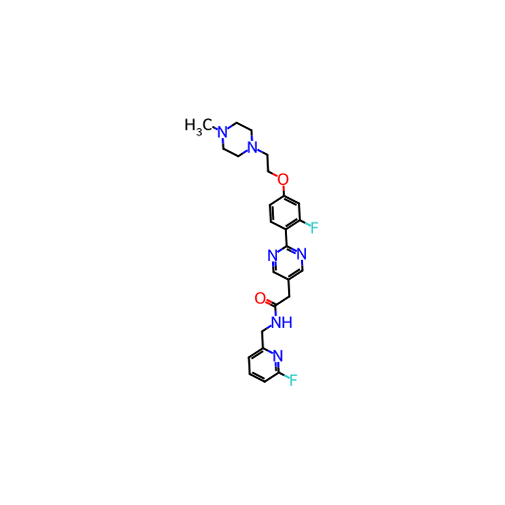 CN1CCN(CCOc2ccc(-c3ncc(CC(=O)NCc4cccc(F)n4)cn3)c(F)c2)CC1